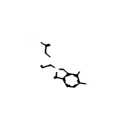 O=C[C@H](CCC(=O)O)N1Cc2c(ccc(Br)c2F)C1=O